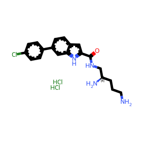 Cl.Cl.NCCC[C@@H](N)CNC(=O)c1cc2ccc(-c3ccc(Cl)cc3)cc2[nH]1